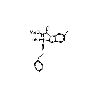 CCCCC1(C#CCCc2ccccc2)c2cc3ccc(C)cc3n2C(=O)N1OC